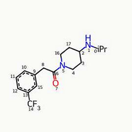 CC(C)NC1CCN(C(=O)Cc2cccc(C(F)(F)F)c2)CC1